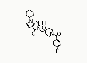 O=C(c1ccc(F)cc1)N1CCC(O)(Cn2cnc3c(ccn3C3CCCCC3)c2=O)CC1